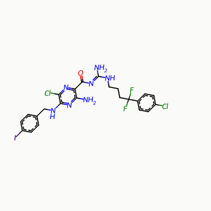 N/C(=N\C(=O)c1nc(Cl)c(NCc2ccc(I)cc2)nc1N)NCCCC(F)(F)c1ccc(Cl)cc1